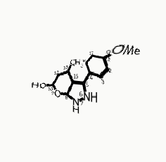 COC1CCC(C2NNC3OC(O)CC(C)C32)CC1